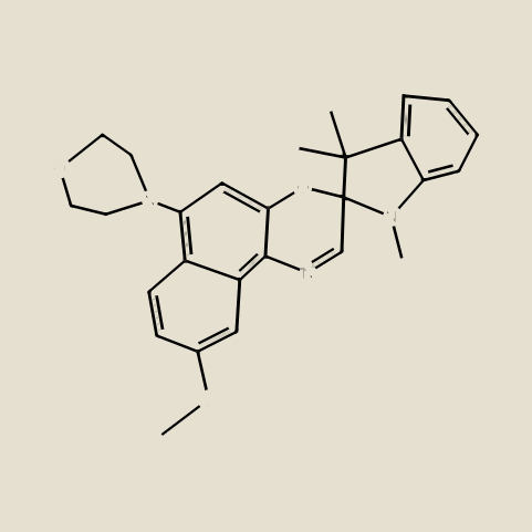 COc1ccc2c(N3CCOCC3)cc3c(c2c1)N=CC1(O3)N(C)c2ccccc2C1(C)C